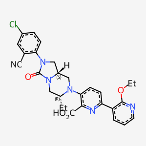 CCOc1ncccc1-c1ccc(N2C[C@H]3CN(c4ccc(Cl)cc4C#N)C(=O)N3C[C@H]2CC)c(C(=O)O)n1